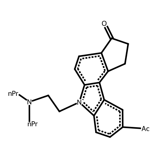 CCCN(CCC)CCn1c2ccc(C(C)=O)cc2c2c3c(ccc21)C(=O)CC3